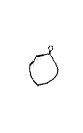 O=C1/C=C/C=C/CCCCCCCCCC1